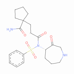 NC(=O)C1(C[CH]C(=O)N([C@H]2CCCNCC2=O)S(=O)(=O)c2ccccc2)CCCC1